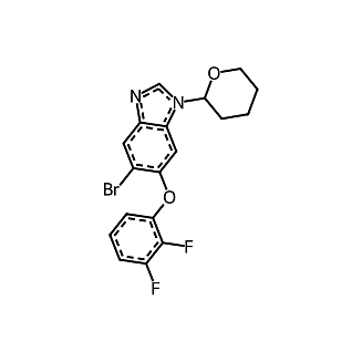 Fc1cccc(Oc2cc3c(cc2Br)ncn3C2CCCCO2)c1F